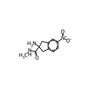 CNC(=O)C1(N)Cc2ccc([N+](=O)[O-])cc2C1